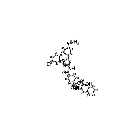 NCc1ccc(-c2sc(NC(=O)c3ccc(S(=O)(=O)NC(Cc4ccccc4)C(=O)O)cc3)nc2-c2cccc(Cl)c2)cc1